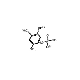 O=Ic1ccc([N+](=O)[O-])cc1O.O=P(O)(O)O